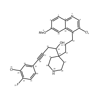 COc1ccc2ncc(Cl)c(CCCC3(C(O)CC#Cc4ccc(F)c(Cl)c4)CCNCC3)c2c1